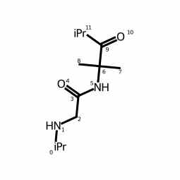 CC(C)NCC(=O)NC(C)(C)C(=O)C(C)C